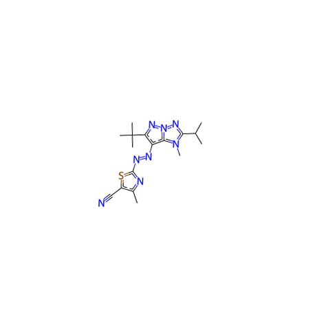 Cc1nc(/N=N/c2c(C(C)(C)C)nn3nc(C(C)C)n(C)c23)sc1C#N